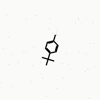 [CH2]c1ccc(C(C)(C)C)cc1